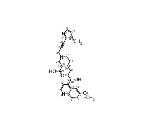 COc1ccc2nccc([C@@H](O)CC[C@@H]3CCN(CC#Cc4nccn4C)C[C@@H]3C(=O)O)c2c1